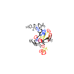 C[C@@H]1Cc2nn(C[SH](=O)=O)c(C(=O)N(C)OC(C)(C)COC[SH](=O)=O)c2CN1C(=O)O